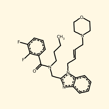 CCCCN(Cc1nc2ccccc2n1CC=CCN1CCOCC1)C(=O)c1cccc(F)c1F